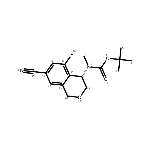 CN(C(=O)OC(C)(C)C)[C@@H]1COCc2cc(C#N)cc(F)c21